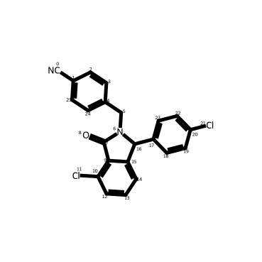 N#Cc1ccc(CN2C(=O)c3c(Cl)cccc3C2c2ccc(Cl)cc2)cc1